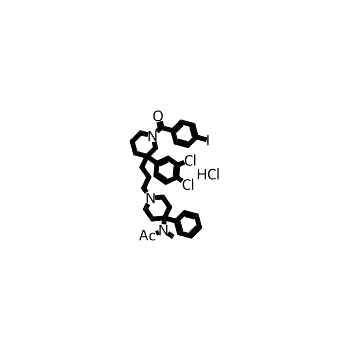 CC(=O)N(C)C1(c2ccccc2)CCN(CCCC2(c3ccc(Cl)c(Cl)c3)CCCN(C(=O)c3ccc(I)cc3)C2)CC1.Cl